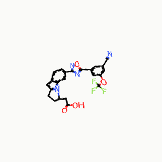 N#Cc1cc(OC(F)(F)F)cc(-c2nc(-c3ccc4cc5n(c4c3)C(CC(=O)O)CC5)no2)c1